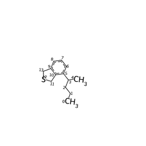 CCCC(C)c1cccc2c1CSC2